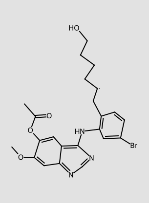 COc1cc2ncnc(Nc3cc(Br)ccc3C[CH]CCCCO)c2cc1OC(C)=O